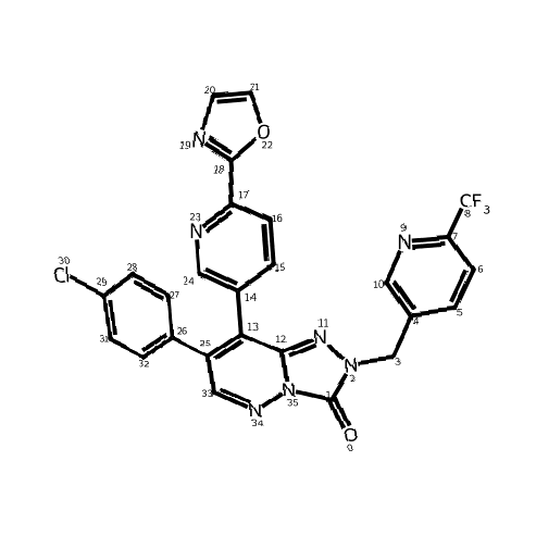 O=c1n(Cc2ccc(C(F)(F)F)nc2)nc2c(-c3ccc(-c4ncco4)nc3)c(-c3ccc(Cl)cc3)cnn12